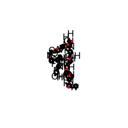 O=C(Nc1ccc(-c2cc(Nc3ccc(N4CCC(OC5OCC56CN(Cc5ccc(F)c(-c7cc(Nc8ccc(N9CCC(O)CC9)cn8)c8c(=O)[nH]ccc8n7)c5)C6)CC4)cn3)c3c(=O)[nH]ccc3n2)c(F)c1)[C@H]1C[C@@]2(OC3CCN(c4ccc(Nc5cc(-c6cc(CN7CCCCC7)ccc6F)nc6cc[nH]c(=O)c56)nc4)CC3)CC[C@@H]1C2